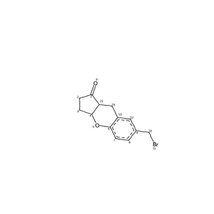 O=C1CCC2Oc3ccc(CBr)cc3CC12